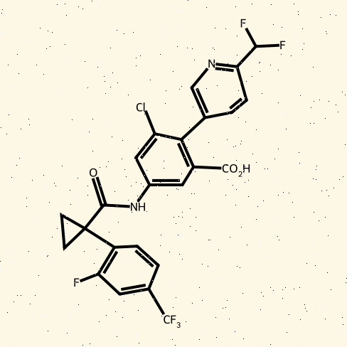 O=C(O)c1cc(NC(=O)C2(c3ccc(C(F)(F)F)cc3F)CC2)cc(Cl)c1-c1ccc(C(F)F)nc1